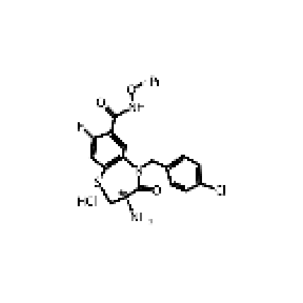 CCCONC(=O)c1cc2c(cc1F)SC[C@H](N)C(=O)N2Cc1ccc(Cl)cc1.Cl